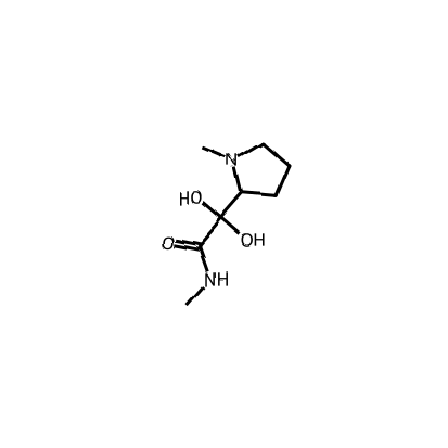 CNC(=O)C(O)(O)C1CCCN1C